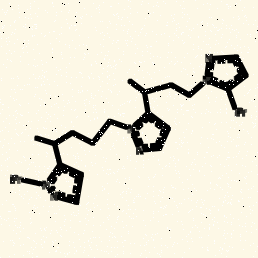 CC(C)c1ccnn1CCC(C)c1ccnn1CCCC(C)c1ccnn1C(C)C